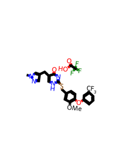 COc1cc(CSc2nc(=O)c(Cc3cnn(C)c3)c[nH]2)ccc1Oc1cccc(C(F)(F)F)c1.O=C(O)C(F)(F)F